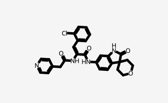 O=C(Cc1ccncc1)NC(=Cc1ccccc1Cl)C(=O)Nc1ccc2c(c1)NC(=O)C21CCOCC1